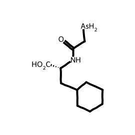 O=C(C[AsH2])N[C@H](CC1CCCCC1)C(=O)O